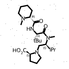 CC(C)[C@@H](CN1CCC[C@H]1C(=O)O)N(C)C(=O)[C@@H](NC(=O)[C@H]1CCCCN1C)C(C)(C)C